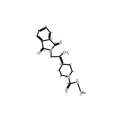 CC(CN1C(=O)c2ccccc2C1=O)=C1CCN(C(=O)OC(C)(C)C)CC1